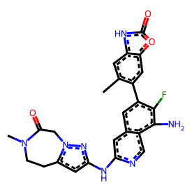 Cc1cc2[nH]c(=O)oc2cc1-c1cc2cc(Nc3cc4n(n3)CC(=O)N(C)CC4)ncc2c(N)c1F